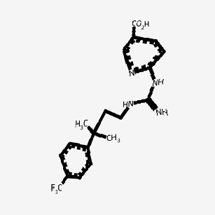 CC(C)(CCNC(=N)Nc1ccc(C(=O)O)cn1)c1ccc(C(F)(F)F)cc1